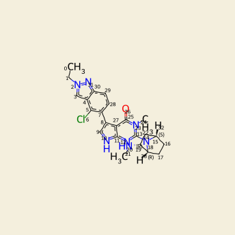 CCn1cc2c(Cl)c(-c3c[nH]c4nc(N5[C@H]6CC[C@@H]5[C@H](NC)C6)n(C)c(=O)c34)ccc2n1